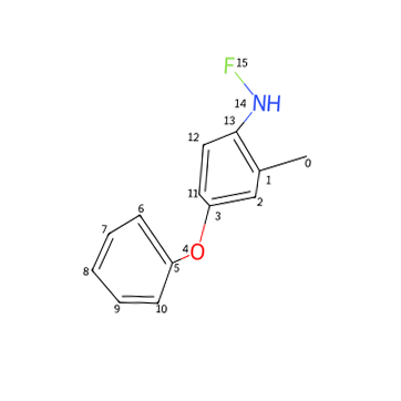 Cc1cc(Oc2ccccc2)ccc1NF